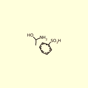 CC(N)O.O=S(=O)(O)c1ccccc1